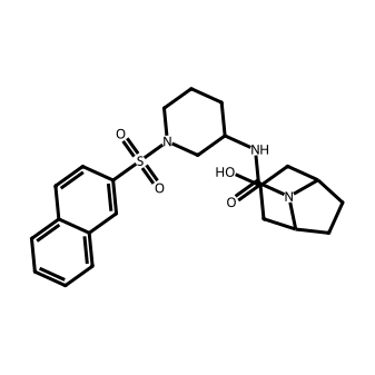 O=C(NC1CCCN(S(=O)(=O)c2ccc3ccccc3c2)C1)N1C2CCC1CC(O)C2